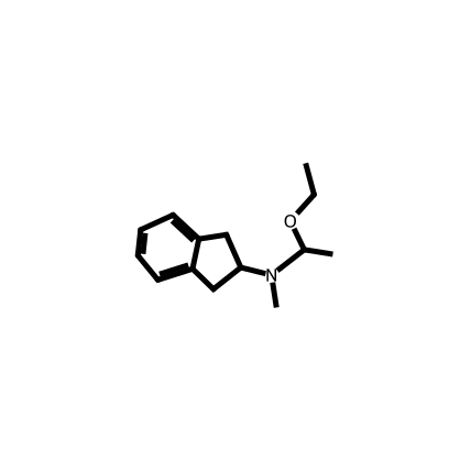 CCOC(C)N(C)C1Cc2ccccc2C1